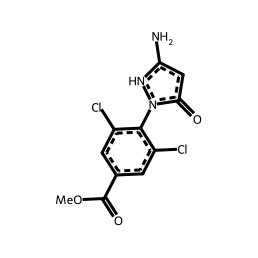 COC(=O)c1cc(Cl)c(-n2[nH]c(N)cc2=O)c(Cl)c1